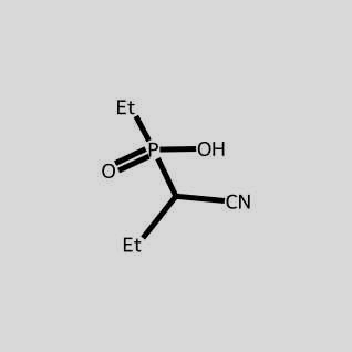 CCC(C#N)P(=O)(O)CC